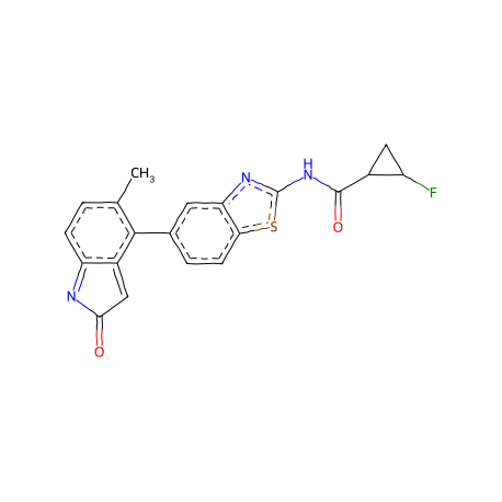 Cc1ccc2c(c1-c1ccc3sc(NC(=O)C4CC4F)nc3c1)=CC(=O)N=2